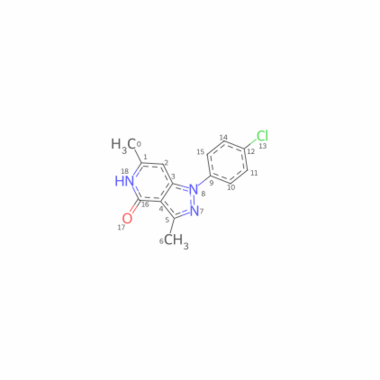 Cc1cc2c(c(C)nn2-c2ccc(Cl)cc2)c(=O)[nH]1